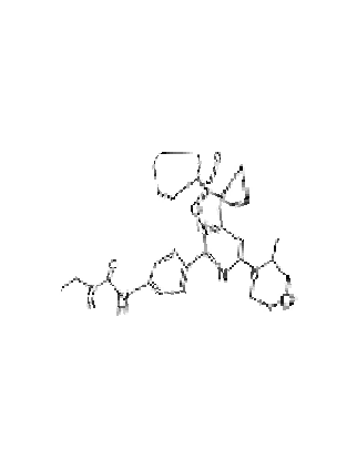 CCNC(=O)Nc1ccc(-c2nc(N3CCOC[C@@H]3C)cc(C3(S(=O)(=O)C4CCCCC4)CC3)n2)cc1